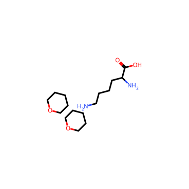 C1CCOCC1.C1CCOCC1.NCCCCC(N)C(=O)O